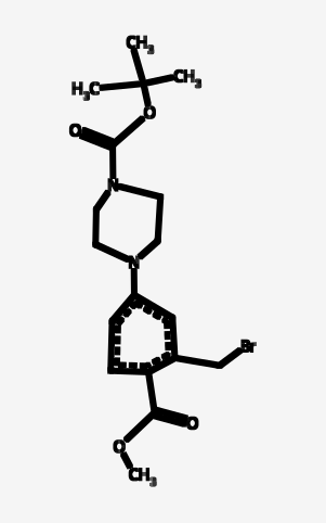 COC(=O)c1ccc(N2CCN(C(=O)OC(C)(C)C)CC2)cc1CBr